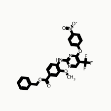 COc1cc(C(=O)OCc2ccccc2)ccc1Nc1ncc(C(F)(F)F)c(Oc2ccc([N+](=O)[O-])cc2)n1